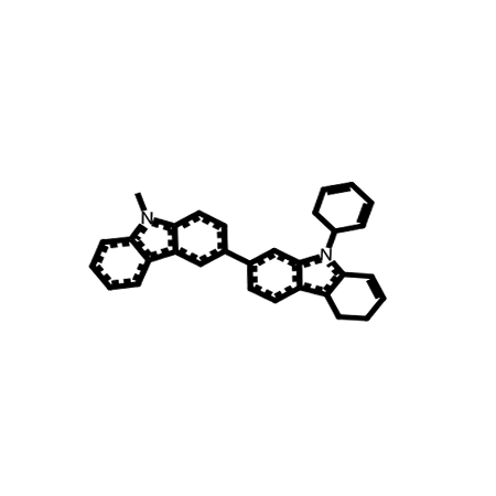 Cn1c2ccccc2c2cc(-c3ccc4c5c(n(C6C=CC=CC6)c4c3)C=CCC5)ccc21